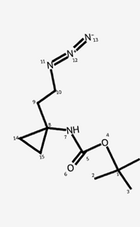 CC(C)(C)OC(=O)NC1(CCN=[N+]=[N-])CC1